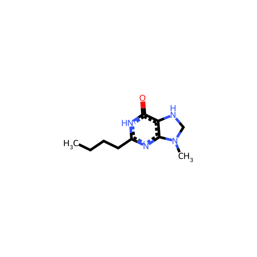 CCCCc1nc2c(c(=O)[nH]1)NCN2C